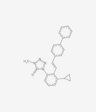 Cn1nnn(-c2cccc(C3CC3)c2/C=C/c2ccc(-c3ccccc3)cc2)c1=O